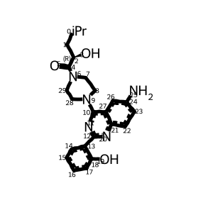 CC(C)C[C@@H](O)C(=O)N1CCN(c2nc(-c3ccccc3O)nc3ccc(N)cc23)CC1